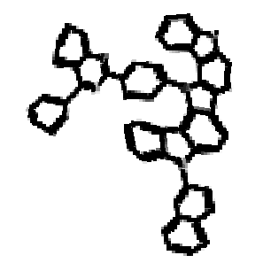 c1ccc(-c2nc(-c3ccc(-n4c5c(ccc6oc7ccccc7c65)c5ccc6c(c7ccccc7n6-c6ccc7ccccc7c6)c54)cc3)nc3ccccc23)cc1